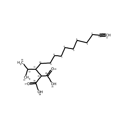 C#CCCCCCCCCCC(C(C)C)C(C(=O)O)C(=O)O